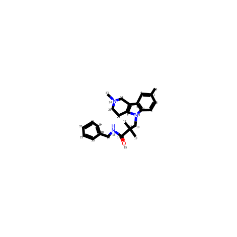 Cc1ccc2c(c1)c1c(n2CC(C)(C)C(=O)NCc2ccccc2)CCN(C)C1